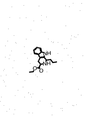 CCCC1NC(C(=O)OCC)Cc2c1[nH]c1ccccc21